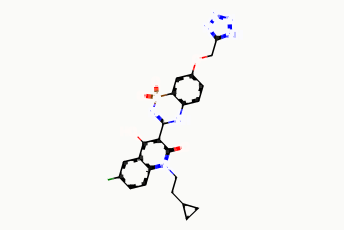 O=c1c(C2=NS(=O)(=O)c3cc(OCc4nnn[nH]4)ccc3N2)c(O)c2cc(F)ccc2n1CCC1CC1